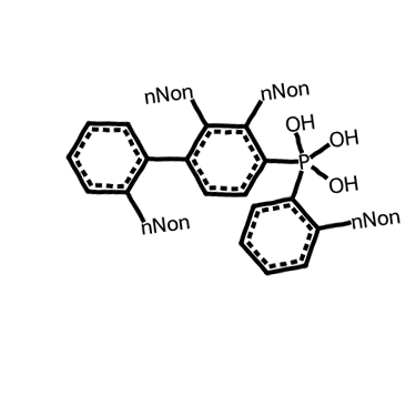 CCCCCCCCCc1ccccc1-c1ccc(P(O)(O)(O)c2ccccc2CCCCCCCCC)c(CCCCCCCCC)c1CCCCCCCCC